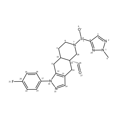 Cn1ncc([S+]([O-])N2CCC3Cc4c(cnn4-c4ccc(F)cc4)C[C@]3(C=O)C2)n1